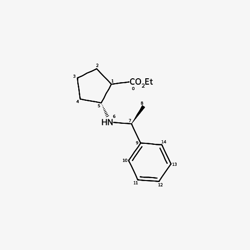 CCOC(=O)C1CCC[C@H]1N[C@@H](C)c1ccccc1